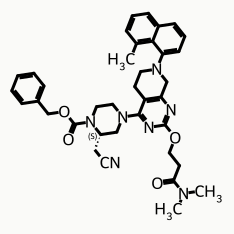 Cc1cccc2cccc(N3CCc4c(nc(OCCC(=O)N(C)C)nc4N4CCN(C(=O)OCc5ccccc5)[C@@H](CC#N)C4)C3)c12